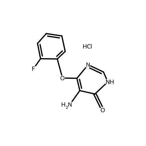 Cl.Nc1c(Oc2ccccc2F)nc[nH]c1=O